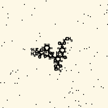 CCOC(=O)N1CCN(C(=O)C(CNC(=O)OC)NC(=O)c2cc(OCC(=O)C(C)(C)C)n(-c3ccccc3)n2)CC1